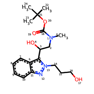 CN(CC(O)c1c2ccccc2nn1CCCO)C(=O)OC(C)(C)C